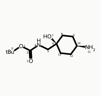 CC(C)(C)OC(=O)NC[C@]1(O)CC[C@@H](N)CC1